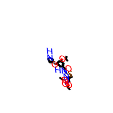 CCOP(=O)(Cc1csc(NC(=O)c2cc(OC(C)C)cc(O[C@@H]3CCNC3)c2)n1)OCC